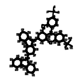 CC(C)(C)c1ccc2c(c1)Oc1cc(-n3c4ccccc4c4cc(-n5c6ccccc6c6ccccc65)ccc43)cc3c1B2c1ccc(C(C)(C)C)cc1O3